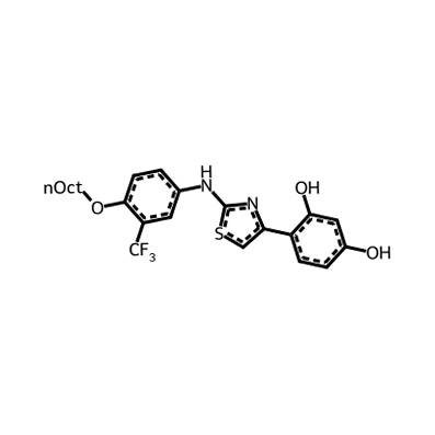 CCCCCCCCOc1ccc(Nc2nc(-c3ccc(O)cc3O)cs2)cc1C(F)(F)F